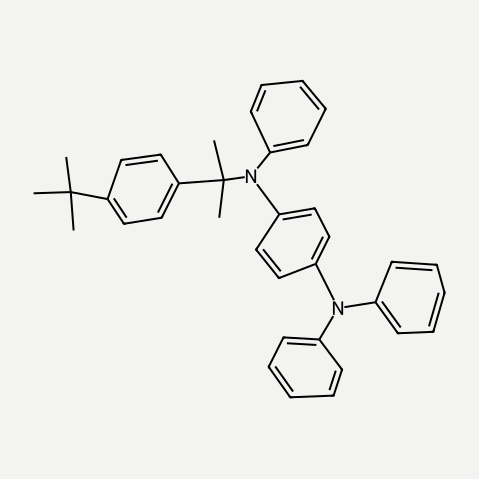 CC(C)(C)c1ccc(C(C)(C)N(c2ccccc2)c2ccc(N(c3ccccc3)c3ccccc3)cc2)cc1